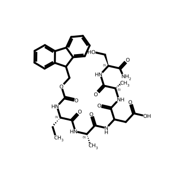 CC[C@H](NC(=O)OCC1c2ccccc2-c2ccccc21)C(=O)N[C@@H](C)C(=O)NC(CC(=O)O)C(=O)N[C@@H](C)C(=O)N[C@@H](CO)C(N)=O